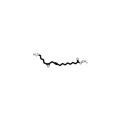 CCCCCC1OC1CC#CCCCCCCCC(=O)OC